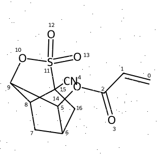 C=CC(=O)OC1C2CC3C1OS(=O)(=O)C3(C#N)C2